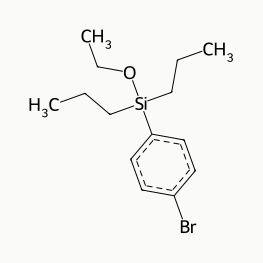 CCC[Si](CCC)(OCC)c1ccc(Br)cc1